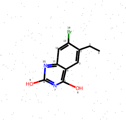 CCc1cc2c(O)nc(O)nc2cc1Br